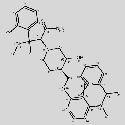 CNC(C)(c1ccccc1C)C(C(N)=O)N1CC[C@H](CNc2ncnc(N(C)C(C)c3ccccc3C)c2F)[C@@H](O)C1